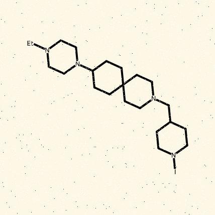 CCN1CCN(C2CCC3(CC2)CCN(CC2CCN(I)CC2)CC3)CC1